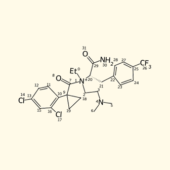 CC[N+](CCN(C)C)(C(=O)C1(c2ccc(Cl)cc2Cl)CC1)[C@@H](Cc1ccc(C(F)(F)F)cc1)C(N)=O